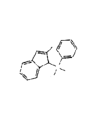 CC1=Cc2ccccc2C1[Si](C)(Cl)c1ccccc1